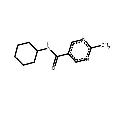 Cc1ncc(C(=O)NC2CCCCC2)cn1